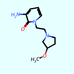 COC1CCN(CCn2cccc(N)c2=O)C1